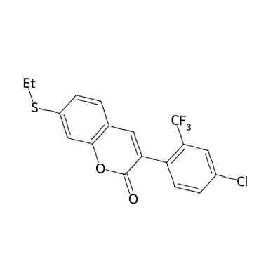 CCSc1ccc2cc(-c3ccc(Cl)cc3C(F)(F)F)c(=O)oc2c1